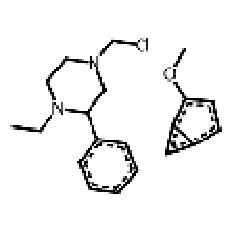 CCN1CCN(CCl)CC1c1ccccc1.COc1ccc2cc1-2